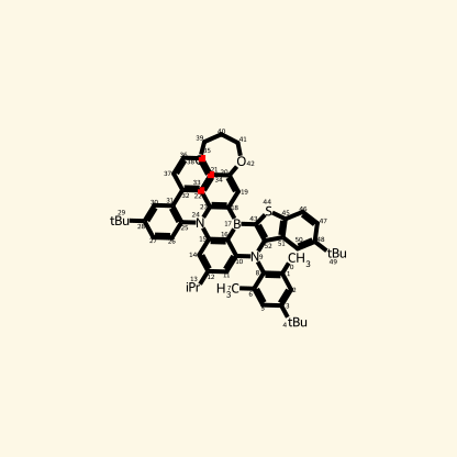 Cc1cc(C(C)(C)C)cc(C)c1N1c2cc(C(C)C)cc3c2B(c2cc4c(cc2N3c2ccc(C(C)(C)C)cc2-c2ccccc2)OCCCO4)c2sc3ccc(C(C)(C)C)cc3c21